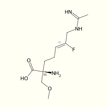 COC[C@@](N)(CC/C=C(\F)CNC(C)=N)C(=O)O